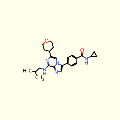 CC(C)CNc1nc(C2CCOCC2)cn2c(-c3ccc(C(=O)NC4CC4)cc3)cnc12